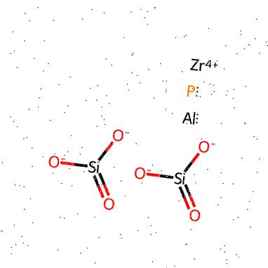 O=[Si]([O-])[O-].O=[Si]([O-])[O-].[Al].[P].[Zr+4]